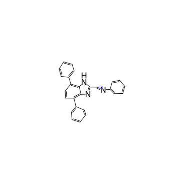 C(=N\c1ccccc1)/c1nc2c(-c3ccccc3)ccc(-c3ccccc3)c2[nH]1